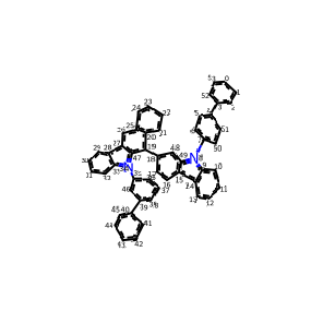 c1ccc(-c2ccc(-n3c4ccccc4c4ccc(-c5c6ccccc6cc6c7ccccc7n(-c7cccc(-c8ccccc8)c7)c56)cc43)cc2)cc1